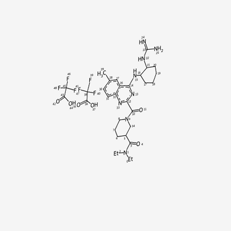 CCN(CC)C(=O)C1CCCN(C(=O)c2nc(NC3CCCCC3NC(=N)N)c3cc(C)ccc3n2)C1.O=C(O)C(F)(F)F.O=C(O)C(F)(F)F